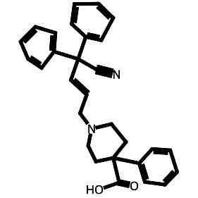 N#CC(/C=C/CN1CCC(C(=O)O)(c2ccccc2)CC1)(c1ccccc1)c1ccccc1